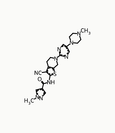 CN1CCN(c2cnc(N3CCc4c(sc(NC(=O)c5cnn(C)c5)c4C#N)C3)nc2)CC1